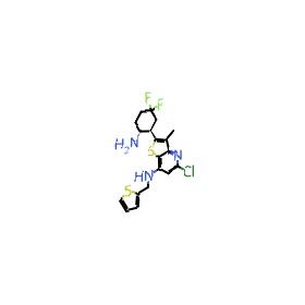 Cc1c([C@@H]2CC(F)(F)CC[C@H]2N)sc2c(NCc3cccs3)cc(Cl)nc12